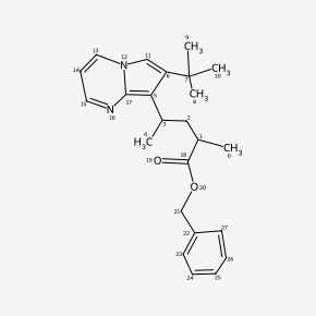 CC(CC(C)c1c(C(C)(C)C)cn2cccnc12)C(=O)OCc1ccccc1